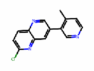 Cc1ccncc1-c1cnc2ccc(Cl)nc2c1